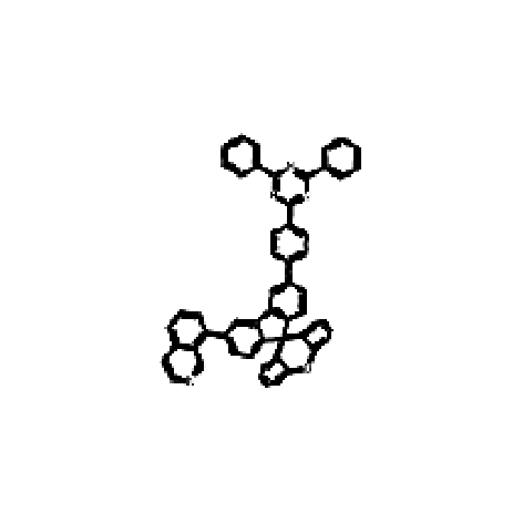 c1ccc(-c2nc(-c3ccccc3)nc(-c3ccc(-c4ccc5c(c4)-c4cc(-c6cccc7ccncc67)ccc4C54c5ccccc5Oc5ccccc54)cc3)n2)cc1